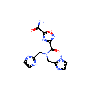 NC(=O)c1nc(C(=O)N(Cc2ncc[nH]2)Cc2ncc[nH]2)no1